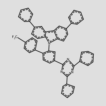 FC(F)(F)c1ccc(-c2ccc(-c3nc(-c4ccccc4)nc(-c4ccccc4)n3)cc2-n2c3ccc(-c4ccccc4)cc3c3cc(-c4ccccc4)ccc32)cc1